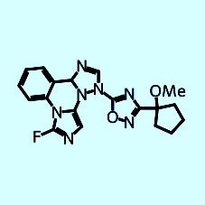 COC1(c2noc(N3C=NC4c5ccccc5-n5c(cnc5F)N43)n2)CCCC1